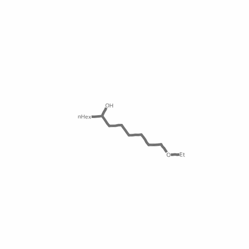 CCCCCCC(O)CCCCCCOCC